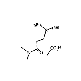 CC(=O)O.CCCCN(CCCC)CCC(=O)N(C)C